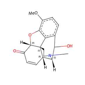 COc1ccc2c3c1O[C@H]1C(=O)C=C[C@H]4[C@@H](C2O)N(C)CC[C@]314